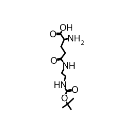 CC(C)(C)OC(=O)NCCNC(=O)CCC(N)C(=O)O